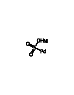 O=[S](=O)(O)[Pd].[Ni]